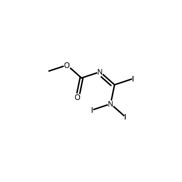 COC(=O)/N=C(/I)N(I)I